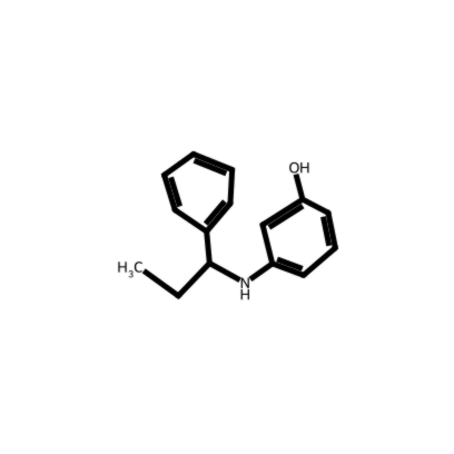 CCC(Nc1cccc(O)c1)c1ccccc1